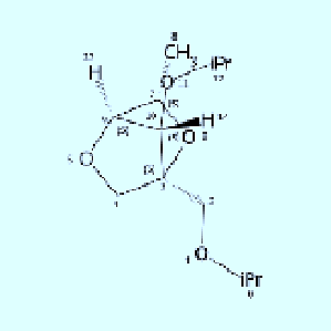 CC(C)OC[C@@]12CO[C@@H]([C@H](C)O1)[C@@H]2OC(C)C